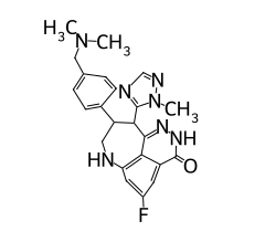 CN(C)Cc1ccc(C2CNc3cc(F)cc4c(=O)[nH]nc(c34)C2c2ncnn2C)cc1